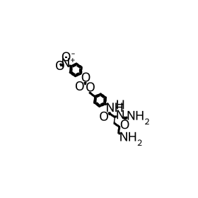 NCCC[C@H](NC(N)=O)C(=O)Nc1ccc(COC(=O)Oc2ccc([N+](=O)[O-])cc2)cc1